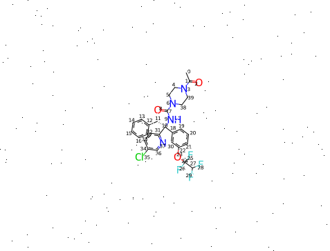 CC(=O)N1CCN(C(=O)N[C@@](Cc2ccccc2)(c2cccc(OC(F)(F)C(F)F)c2)c2ccc(Cl)cn2)CC1